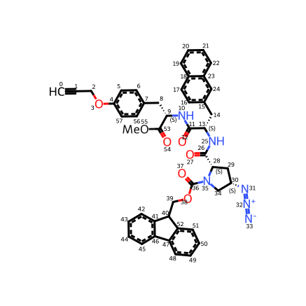 C#CCOc1ccc(C[C@H](NC(=O)[C@H](Cc2ccc3ccccc3c2)NC(=O)[C@@H]2C[C@H](N=[N+]=[N-])CN2C(=O)OCC2c3ccccc3-c3ccccc32)C(=O)OC)cc1